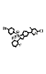 Cc1cc(Cl)ncc1-c1ccc2c(c1)cc(-c1c(F)cccc1F)n2S(=O)(=O)c1ccc(Br)cc1